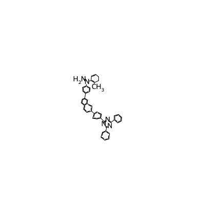 CC1=C(N(N)c2ccc(-c3ccc4ccc(-c5ccc(-c6nc(-c7ccccc7)nc(-c7ccccc7)n6)cc5)cc4c3)cc2)C=CCC1